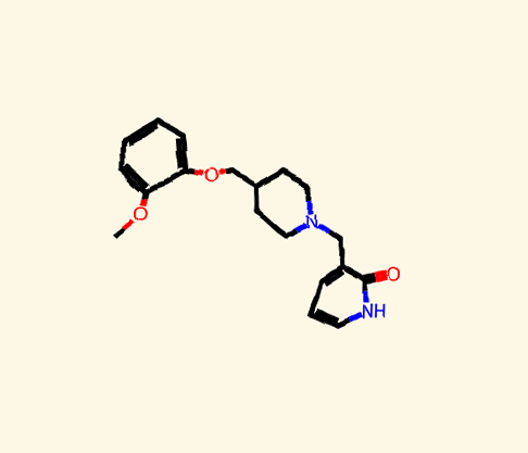 COc1ccccc1OCC1CCN(Cc2ccc[nH]c2=O)CC1